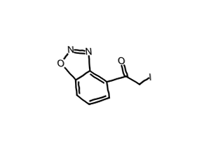 O=C(CI)c1cccc2onnc12